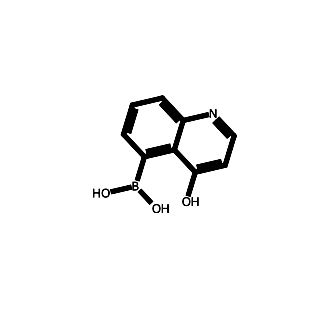 OB(O)c1cccc2nccc(O)c12